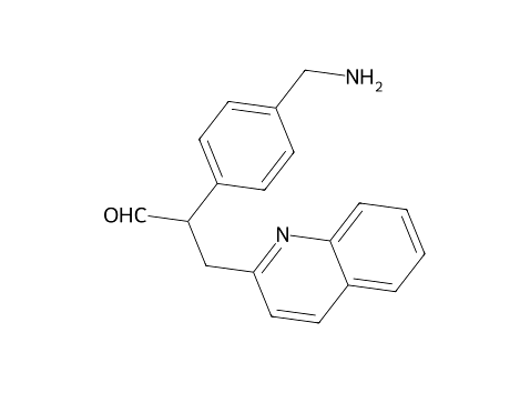 NCc1ccc(C(C=O)Cc2ccc3ccccc3n2)cc1